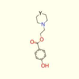 O=C(OCCN1C[CH2][Y][CH2]C1)c1ccc(O)cc1